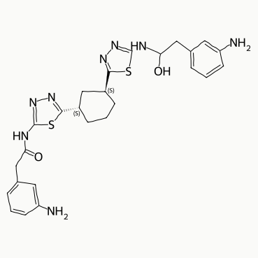 Nc1cccc(CC(=O)Nc2nnc([C@H]3CCC[C@H](c4nnc(NC(O)Cc5cccc(N)c5)s4)C3)s2)c1